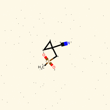 CS(=O)(=O)CC1(C#N)CC1